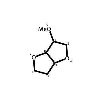 COC1COC2CCOC12